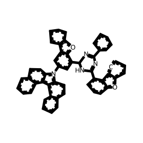 c1ccc(C2=NC(c3cc(-n4c5ccc6ccccc6c5c5c6ccccc6ccc54)cc4c3oc3ccccc34)NC(c3cccc4oc5ccccc5c34)=N2)cc1